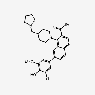 COc1cc(-c2ccc3ncc(C(=O)C(C)C)c(N4CCC(CN5CCCC5)CC4)c3c2)cc(Cl)c1O